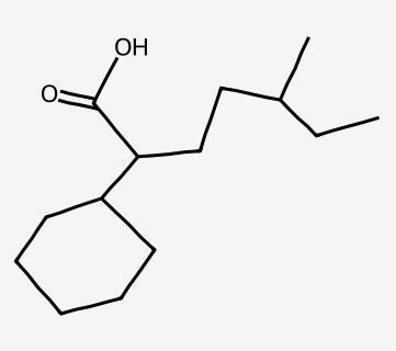 CCC(C)CCC(C(=O)O)C1CCCCC1